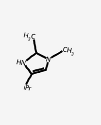 CC(C)C1=CN(C)C(C)N1